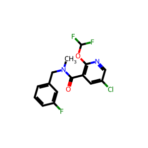 CN(Cc1cccc(F)c1)C(=O)c1cc(Cl)cnc1OC(F)F